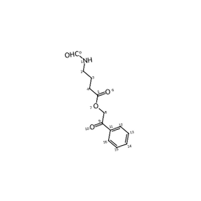 O=CNCCCC(=O)OCC(=O)c1ccccc1